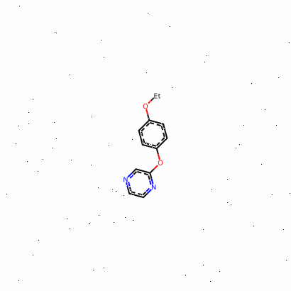 CCOc1ccc(Oc2cnccn2)cc1